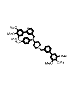 COc1cc(-c2cccc(CN3CCC(N(Cc4ccnc(-c5cc(OC)c(OC)c(OC)c5)c4)c4ccc(C)cc4)CC3)c2)cc(OC)c1OC